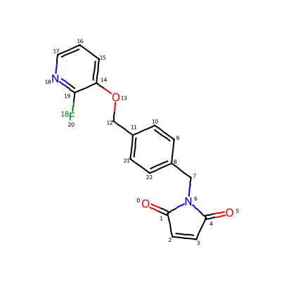 O=C1C=CC(=O)N1Cc1ccc(COc2cccnc2[18F])cc1